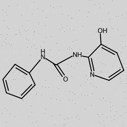 O=C(Nc1ccccc1)Nc1ncccc1O